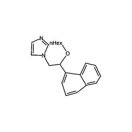 CCCCCCOC(Cn1ccnc1)c1cccc2ccccc12